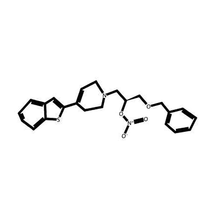 O=[N+]([O-])O[C@H](COCc1ccccc1)CN1CC=C(c2cc3ccccc3s2)CC1